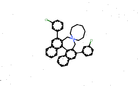 Clc1cccc(-c2cc3ccccc3c3c2C[N+]2(CCCCCCC2)Cc2c(-c4cccc(Cl)c4)cc4ccccc4c2-3)c1